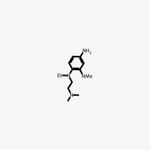 CCN(CCN(C)C)c1ccc(N)cc1NC